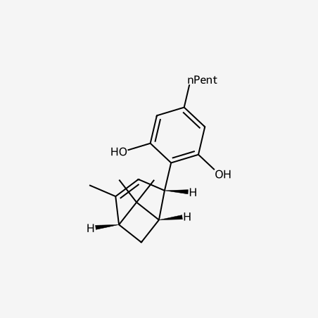 CCCCCc1cc(O)c([C@H]2C=C(C)[C@H]3C[C@@H]2C3(C)C)c(O)c1